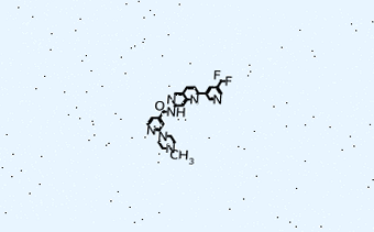 CN1CCN(c2cc(C(=O)Nc3cc4nc(-c5cncc(C(F)F)c5)ccc4cn3)ccn2)CC1